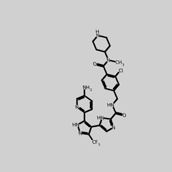 CN(C(=O)c1ccc(CNC(=O)c2ncc(-c3c(C(F)(F)F)n[nH]c3-c3ccc(N)cn3)[nH]2)cc1Cl)C1CCNCC1